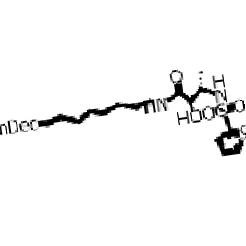 CCCCCCCCCCCCCCCCCCNC(=O)[C@H](O)[C@H](C)NS(=O)(=O)c1cccs1